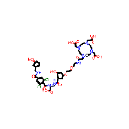 O=C(O)CN1CCN(CC(=O)O)CCN(CC(=O)NCCOCCOc2cc(O)cc(C(=O)NC[C@H](NC(=O)c3c(Cl)cc(C(=O)NCc4cccc(O)c4)cc3Cl)C(=O)O)c2)CCN(CC(=O)O)CC1